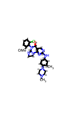 COc1cccc(Cl)c1N1C(=O)c2cnc(Nc3ccc(N4CCN(C)CC4)c(C)c3)nc2N2CCN=C21